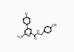 N#Cc1ccc(CNC(=O)c2cc(-c3ccc(Cl)cc3)cc(N)n2)cc1